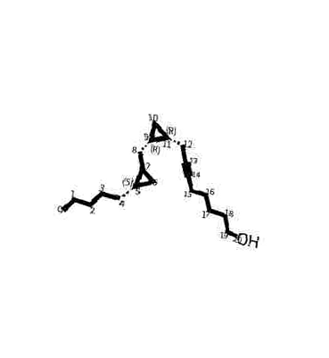 CCCCC[C@H]1CC1C[C@@H]1C[C@@H]1CC#CCCCCCO